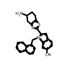 N#Cc1ccc2cc(-c3nc4c(s3)CCC(N)C4)n(Cc3cccc4ccccc34)c2c1